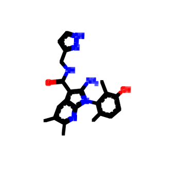 Cc1cc2c(C(=O)NCc3cc[nH]n3)c(N)n(-c3c(C)ccc(O)c3C)c2nc1C